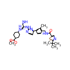 COC(=O)C1CCC(N/C=C(\C=N)Nc2nccc(-c3ccc(CNC(=O)c4cnc(C(C)(C)C)s4)c(C)c3)n2)CC1